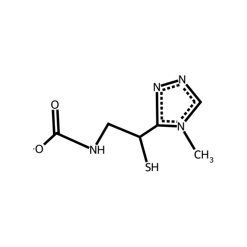 Cn1cnnc1C(S)CNC([O])=O